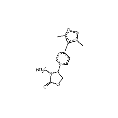 Cc1noc(C)c1-c1ccc(C2COC(=O)N2C(=O)O)cc1